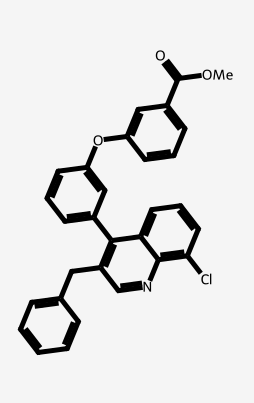 COC(=O)c1cccc(Oc2cccc(-c3c(Cc4ccccc4)cnc4c(Cl)cccc34)c2)c1